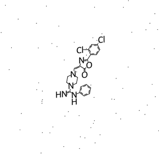 N=C(Nc1ccccc1)N1CCN(C=C2N=C(c3ccc(Cl)cc3Cl)OC2=O)CC1